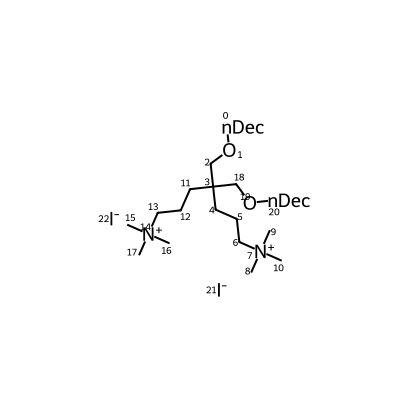 CCCCCCCCCCOCC(CCC[N+](C)(C)C)(CCC[N+](C)(C)C)COCCCCCCCCCC.[I-].[I-]